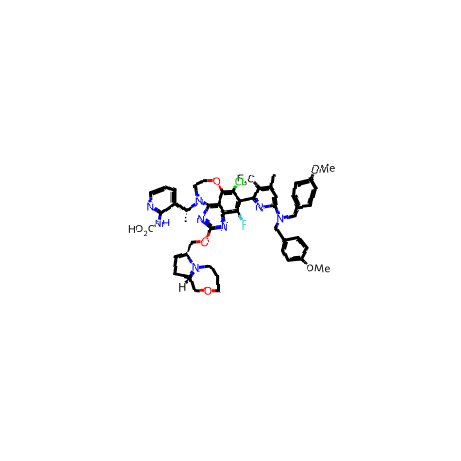 COc1ccc(CN(Cc2ccc(OC)cc2)c2cc(C)c(C(F)(F)F)c(-c3c(Cl)c4c5c(nc(OC[C@@H]6CC[C@H]7COCCCN76)nc5c3F)N([C@H](C)c3cccnc3NC(=O)O)CCO4)n2)cc1